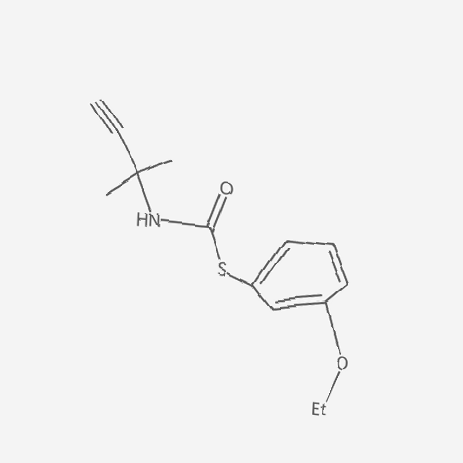 C#CC(C)(C)NC(=O)Sc1cccc(OCC)c1